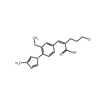 COc1cc(/C=C(/CCCCl)C(=O)O)ccc1-n1cnc(C)c1